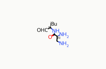 CCC(C)[C@@H](C=O)NC(=O)[C@@H](N)CN